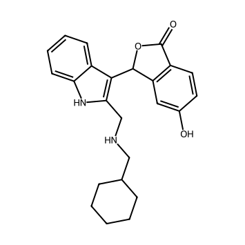 O=C1OC(c2c(CNCC3CCCCC3)[nH]c3ccccc23)c2cc(O)ccc21